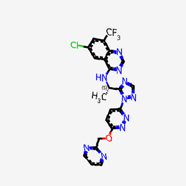 C[C@H](Nc1ncnc2c(C(F)(F)F)cc(Cl)cc12)c1ncnn1-c1ccc(OCc2ncccn2)nn1